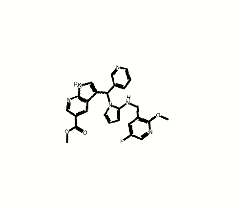 COC(=O)c1cnc2[nH]cc(C(c3cccnc3)n3cccc3NCc3cc(F)cnc3OC)c2c1